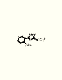 CC(C)(C)c1ccccc1-c1nnc(C(=O)O)s1